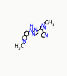 CCN1CCc2ccc(Nc3nccc(-c4cn(CC)nc4-c4cccnc4)n3)cc2C1